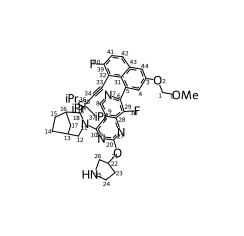 COCOc1cc(-c2ncc3c(N4CC5CCC(C5)C4)nc(OC4CCNC4)nc3c2F)c2c(C#C[Si](C(C)C)(C(C)C)C(C)C)c(F)ccc2c1